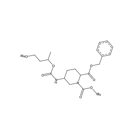 COCCC(C)OC(=O)NC1CCC(C(=O)OCc2ccccc2)N(C(=O)OC(C)(C)C)C1